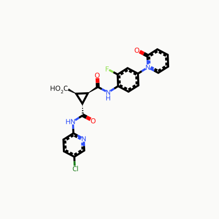 O=C(O)[C@@H]1[C@@H](C(=O)Nc2ccc(Cl)cn2)[C@@H]1C(=O)Nc1ccc(-n2ccccc2=O)cc1F